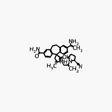 C=C(N)c1ccc2c(c1)CCc1cc(C(N)=O)ccc1C2(C[C@@H](C)NCC(=C)N1CCCC1C#N)C(=O)O